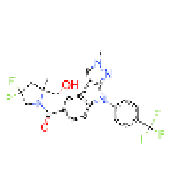 Cn1cc2c3cc(C(=O)N4CC(F)(F)CC4(C)CO)ccc3n(-c3ccc(C(F)(F)F)cc3)c2n1